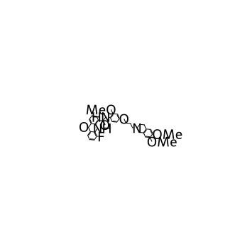 COc1cc(OCCCN2CCc3cc(OC)c(OC)cc3C2)ccc1NC(=O)c1cccc2c(=O)c3cccc(F)c3[nH]c12